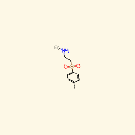 CCNCCS(=O)(=O)c1ccc(C)cc1